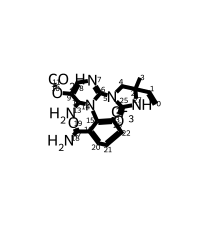 C=CC1(C)CN(C2=NC=C(OC(=O)O)C(N)N2c2c(C(N)=O)cccc2C(F)(F)F)C(=O)N1